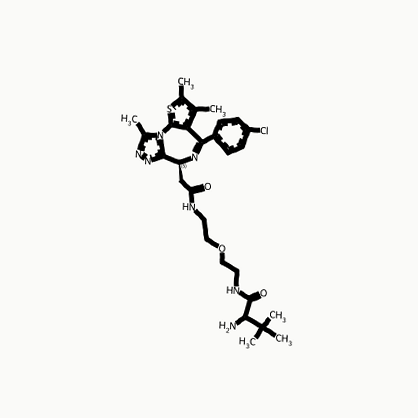 Cc1sc2c(c1C)C(c1ccc(Cl)cc1)=N[C@@H](CC(=O)NCCOCCNC(=O)C(N)C(C)(C)C)c1nnc(C)n1-2